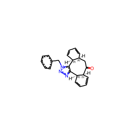 O=C1C[C@@H]2C=CC=C[C@@H]2c2c(nnn2Cc2ccccc2)[C@@H]2C=CC=C[C@H]12